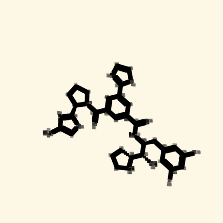 Cc1coc([C@H]2CCCN2C(=O)c2cc(C(=O)N[C@@H](Cc3cc(F)cc(F)c3)[C@H](O)[C@H]3CCCN3)cc(-c3ncco3)c2)n1